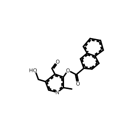 Cc1ncc(CO)c(C=O)c1OC(=O)c1ccc2ccccc2c1